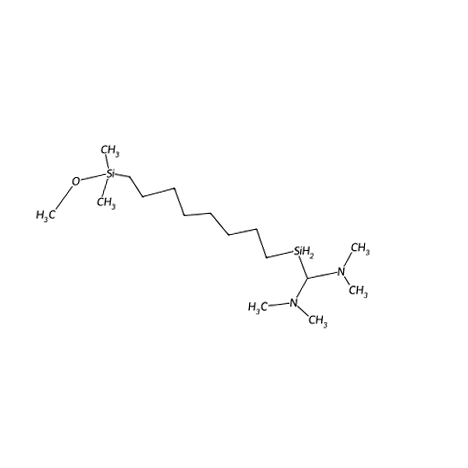 CO[Si](C)(C)CCCCCCCC[SiH2]C(N(C)C)N(C)C